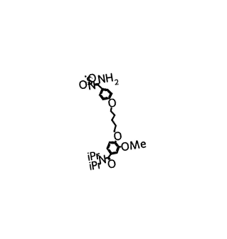 COc1cc(C(=O)N(C(C)C)C(C)C)ccc1OCCCCCOc1ccc(C(N)=NS(C)(=O)=O)cc1